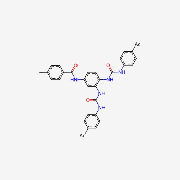 CC(=O)c1ccc(NC(=O)Nc2ccc(NC(=O)c3ccc(C)cc3)cc2NC(=O)Nc2ccc(C(C)=O)cc2)cc1